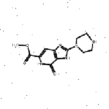 COC(=O)c1cc2nc(N3CCNCC3)[nH]c2c(=O)[nH]1